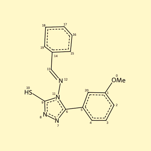 COc1cccc(-c2nnc(S)n2N=Cc2ccccc2)c1